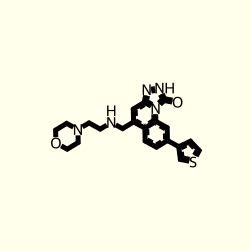 O=c1[nH]nc2cc(CNCCN3CCOCC3)c3ccc(-c4ccsc4)cc3n12